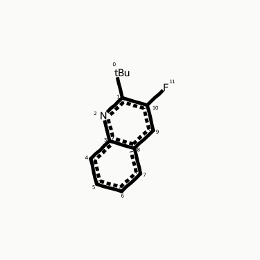 CC(C)(C)c1nc2ccccc2cc1F